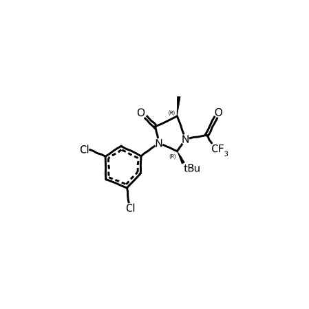 C[C@@H]1C(=O)N(c2cc(Cl)cc(Cl)c2)[C@H](C(C)(C)C)N1C(=O)C(F)(F)F